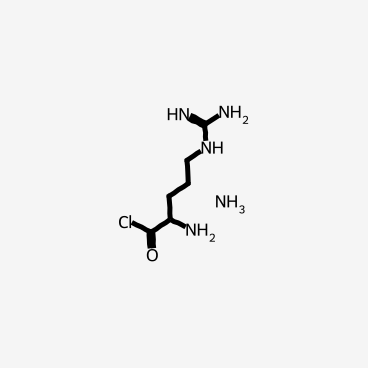 N.N=C(N)NCCCC(N)C(=O)Cl